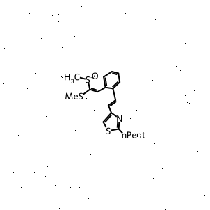 CCCCCc1nc(C=Cc2ccccc2C=C(SC)[S+](C)[O-])cs1